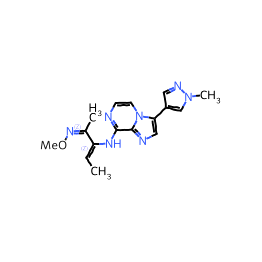 C/C=C(Nc1nccn2c(-c3cnn(C)c3)cnc12)/C(C)=N\OC